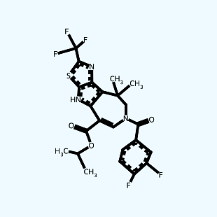 CC(C)OC(=O)C1=CN(C(=O)c2ccc(F)c(F)c2)CC(C)(C)c2c1[nH]c1sc(C(F)(F)F)nc21